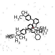 CC1=Cc2c(-c3ccc(C(C)C)cc3)cccc2[CH]1[Zr]([CH3])([CH3])(=[SiH2])[CH]1C(C2CCCCC2)=Cc2c(-c3ccc(C(C)(C)C)cc3)cccc21.Cl.Cl